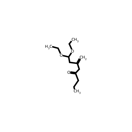 C=C(CC(=O)CCC)CC(OCC)OCC